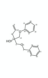 C=CCC(O)(COCc1ccccc1)COc1ccccc1